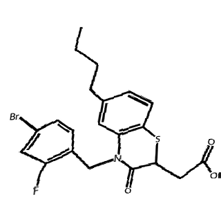 CCCCc1ccc2c(c1)N(Cc1ccc(Br)cc1F)C(=O)C(CC(=O)O)S2